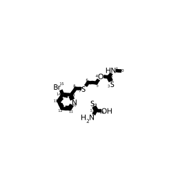 CNC(=S)OCCSCc1ncccc1Br.NC(O)=S